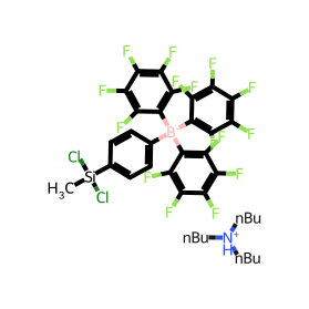 CCCC[NH+](CCCC)CCCC.C[Si](Cl)(Cl)c1ccc([B-](c2c(F)c(F)c(F)c(F)c2F)(c2c(F)c(F)c(F)c(F)c2F)c2c(F)c(F)c(F)c(F)c2F)cc1